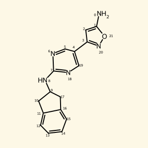 Nc1cc(-c2cnc(NC3Cc4ccccc4C3)nc2)no1